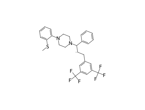 CSc1ccccc1N1CCN(C([CH]Cc2cc(C(F)(F)F)cc(C(F)(F)F)c2)c2ccccc2)CC1